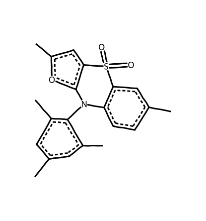 Cc1cc(C)c(N2c3ccc(C)cc3S(=O)(=O)c3cc(C)oc32)c(C)c1